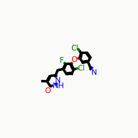 Cc1cc(Cc2ccc(Cl)c(Oc3cc(C#N)ccc3Cl)c2F)n[nH]c1=O